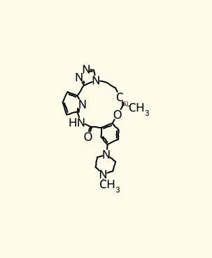 C[C@H]1CCCn2cnnc2-c2cccc(n2)NC(=O)c2cc(N3CCN(C)CC3)ccc2O1